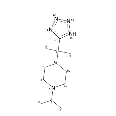 CC(C)N1CCC(C(C)(C)c2nnn[nH]2)CC1